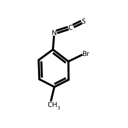 Cc1ccc(N=C=S)c(Br)c1